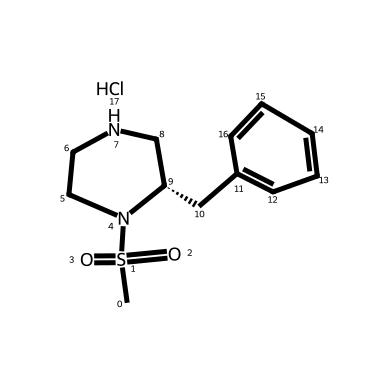 CS(=O)(=O)N1CCNC[C@@H]1Cc1ccccc1.Cl